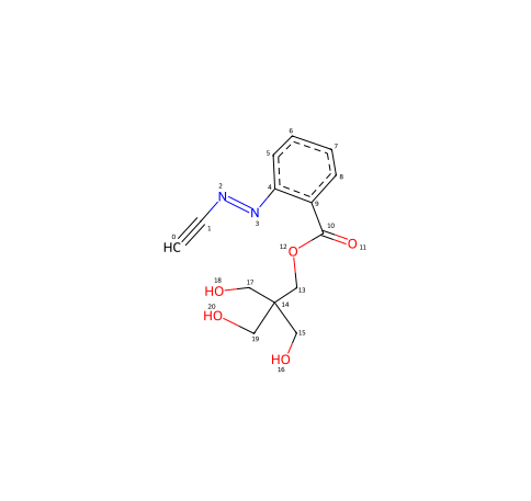 C#CN=Nc1ccccc1C(=O)OCC(CO)(CO)CO